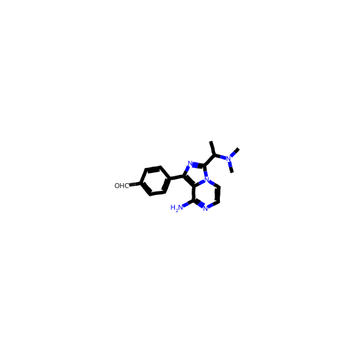 CC(c1nc(-c2ccc(C=O)cc2)c2c(N)nccn12)N(C)C